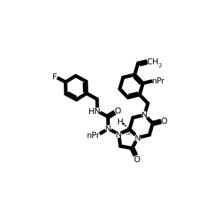 C=CC1=C(CCC)C(CN2C[C@H]3N(CC2=O)C(=O)CN3N(CCC)C(=O)NCC2=CCC(F)C=C2)=CCC1